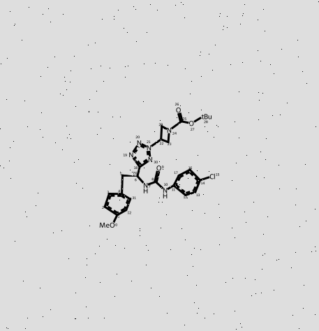 COc1ccc(C[C@H](NC(=O)Nc2ccc(Cl)cc2)c2nnn(C3CN(C(=O)OC(C)(C)C)C3)n2)cc1